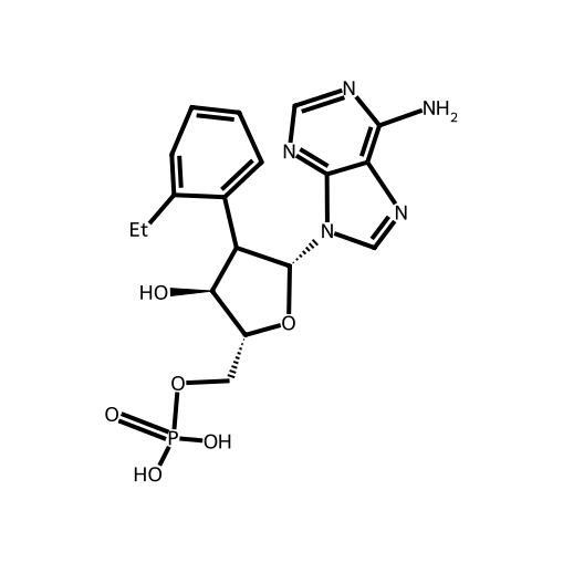 CCc1ccccc1C1[C@H](n2cnc3c(N)ncnc32)O[C@H](COP(=O)(O)O)[C@H]1O